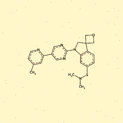 Cc1ccnc(-c2cnc(N3CC4(COC4)c4ccc(SN(C)C)cc43)nc2)c1